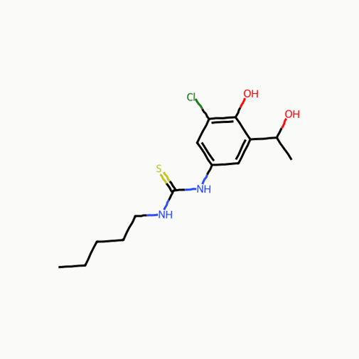 CCCCCNC(=S)Nc1cc(Cl)c(O)c(C(C)O)c1